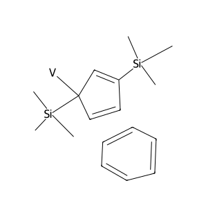 C[Si](C)(C)C1=C[C]([V])([Si](C)(C)C)C=C1.c1ccccc1